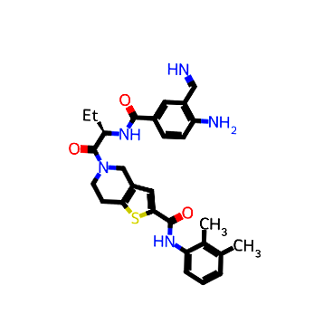 CC[C@@H](NC(=O)c1ccc(N)c(C=N)c1)C(=O)N1CCc2sc(C(=O)Nc3cccc(C)c3C)cc2C1